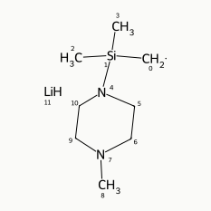 [CH2][Si](C)(C)N1CCN(C)CC1.[LiH]